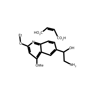 CCOc1cc(OC)c2cc(C(O)CN)ccc2n1.O=C(O)/C=C\C(=O)O